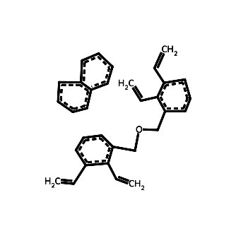 C=Cc1cccc(COCc2cccc(C=C)c2C=C)c1C=C.c1ccc2ccccc2c1